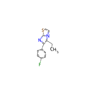 CCc1c(-c2ccc(F)cc2)nc2sccn12